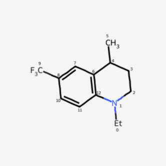 CCN1CCC(C)c2cc(C(F)(F)F)ccc21